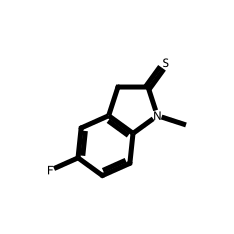 CN1C(=S)Cc2cc(F)ccc21